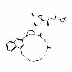 C=C[C@@H]1C[C@]1(NC(=O)[C@@H]1C[C@]2(OC)CN1C(=O)[C@H](C(C)(C)C)NC(=O)OCCCCCCc1cc2cc2ccccc12)C(=O)NS(=O)(=O)C1CC1